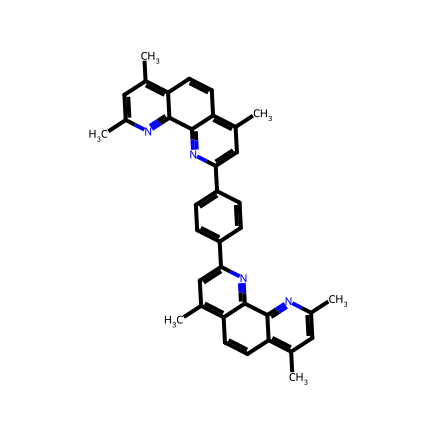 Cc1cc(C)c2ccc3c(C)cc(-c4ccc(-c5cc(C)c6ccc7c(C)cc(C)nc7c6n5)cc4)nc3c2n1